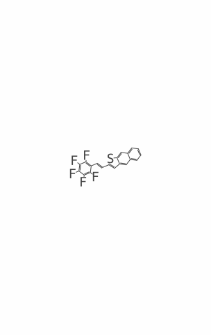 Fc1c(F)c(F)c(C=Cc2cc3cc4ccccc4cc3s2)c(F)c1F